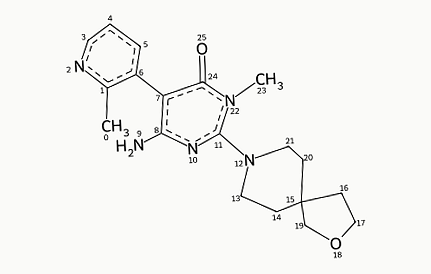 Cc1ncccc1-c1c(N)nc(N2CCC3(CCOC3)CC2)n(C)c1=O